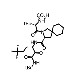 CC(F)(F)CC[C@H](NC(=O)[C@@H]1CC2(CCCCC2)CN1C(=O)[C@@H](NC(=O)O)C(C)(C)C)C(=O)C(=O)NC(C)(C)C